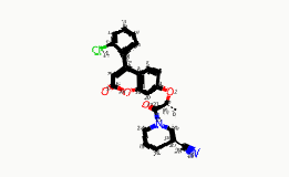 C[C@@H](Oc1ccc2c(-c3ccccc3Cl)cc(=O)oc2c1)C(=O)N1CCC[C@H](C#N)C1